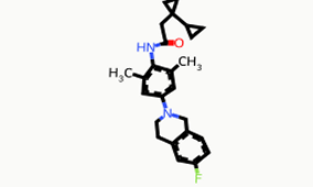 Cc1cc(N2CCc3cc(F)ccc3C2)cc(C)c1NC(=O)CC1(C2CC2)CC1